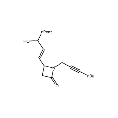 CCCCC#CCN1C(=O)CC1/C=C/C(O)CCCCC